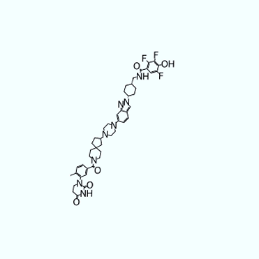 Cc1ccc(C(=O)N2CCC3(CCC(N4CCN(c5ccc6cn([C@H]7CC[C@H](CNC(=O)c8cc(F)c(O)c(F)c8F)CC7)nc6c5)CC4)C3)CC2)cc1N1CCC(=O)NC1=O